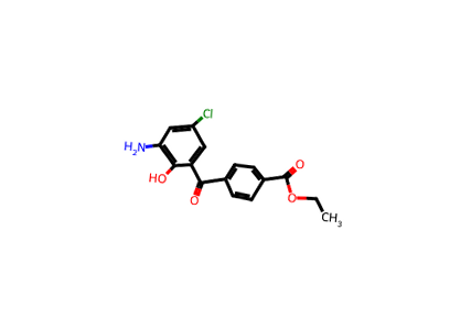 CCOC(=O)c1ccc(C(=O)c2cc(Cl)cc(N)c2O)cc1